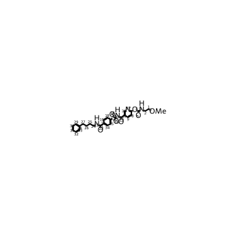 COCCNC(=O)Oc1ccc(C(=O)NS(=O)(=O)c2ccc(C(=O)NCCCCc3ccccc3)cc2)cn1